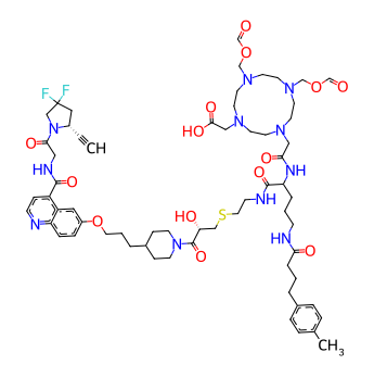 C#C[C@H]1CC(F)(F)CN1C(=O)CNC(=O)c1ccnc2ccc(OCCCC3CCN(C(=O)[C@H](O)CSCCNC(=O)C(CCCNC(=O)CCCc4ccc(C)cc4)NC(=O)CN4CCN(COC=O)CCN(COC=O)CCN(CC(=O)O)CC4)CC3)cc12